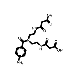 Nc1ccc(C(=O)N(CCNC(=O)CC(=O)O)CCNC(=O)CC(=O)O)cc1